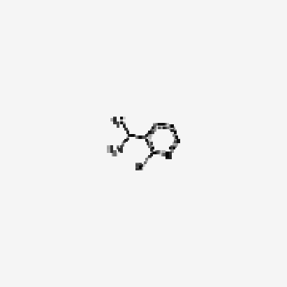 CC(N)c1cccnc1Br